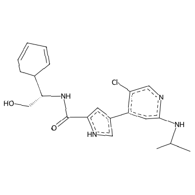 CC(C)Nc1cc(-c2c[nH]c(C(=O)N[C@H](CO)C3C=CC=CC3)c2)c(Cl)cn1